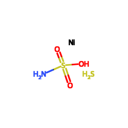 NS(=O)(=O)O.S.[Ni]